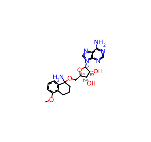 COc1cccc2c1CCCC2(N)OC[C@H]1O[C@@H](n2cnc3c(N)ncnc32)[C@H](O)[C@@H]1O